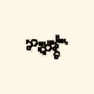 NNC(=O)Nc1cc2c(Nc3ccc(F)c(Cl)c3)ncnc2cc1O[C@H]1CCOC1